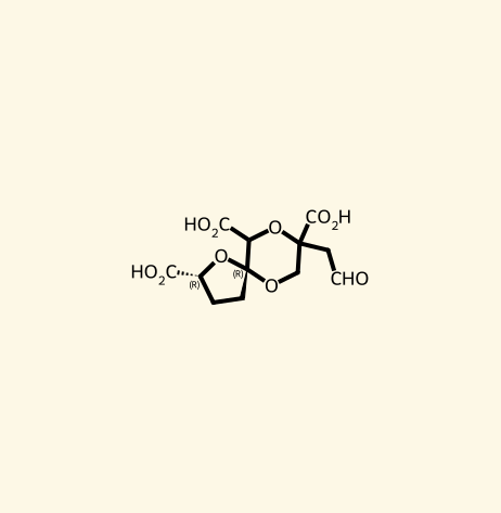 O=CCC1(C(=O)O)CO[C@@]2(CC[C@H](C(=O)O)O2)C(C(=O)O)O1